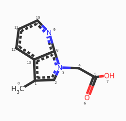 Cc1cn(CC(=O)O)c2nc[c]cc12